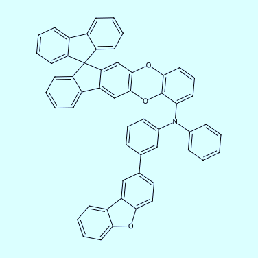 c1ccc(N(c2cccc(-c3ccc4oc5ccccc5c4c3)c2)c2cccc3c2Oc2cc4c(cc2O3)C2(c3ccccc3-c3ccccc32)c2ccccc2-4)cc1